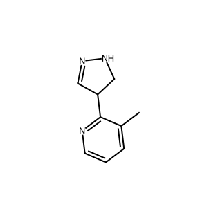 Cc1cccnc1C1C=NNC1